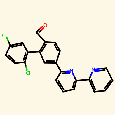 O=Cc1ccc(-c2cccc(-c3ccccn3)n2)cc1-c1cc(Cl)ccc1Cl